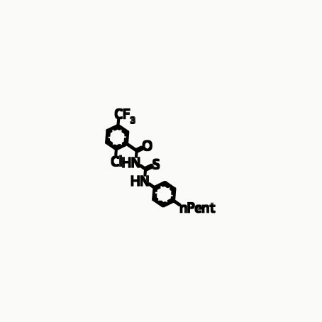 CCCCCc1ccc(NC(=S)NC(=O)c2cc(C(F)(F)F)ccc2Cl)cc1